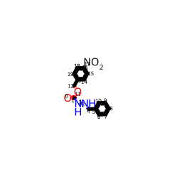 O=C(NNCc1ccccc1)OCc1ccc([N+](=O)[O-])cc1